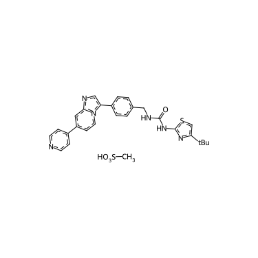 CC(C)(C)c1csc(NC(=O)NCc2ccc(-c3cnc4cc(-c5ccncc5)ccn34)cc2)n1.CS(=O)(=O)O